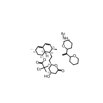 C=C(C1CCCCO1)C1CCCCO1.CC(N)=O.CCC(C)(C)C(=O)O[C@@H]1C[C@H](C)C=C2C=C[C@@H](C)[C@@H](CC[C@@H]3C[C@H](O)CC(=O)O3)[C@@H]21